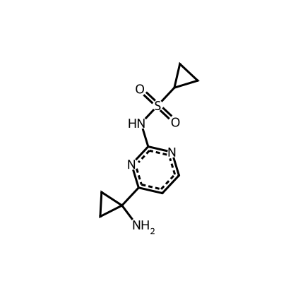 NC1(c2ccnc(NS(=O)(=O)C3CC3)n2)CC1